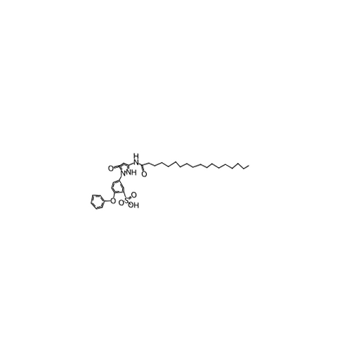 CCCCCCCCCCCCCCCCCC(=O)Nc1cc(=O)n(-c2ccc(Oc3ccccc3)c(S(=O)(=O)O)c2)[nH]1